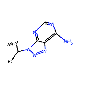 CCC(NC)n1nnc2c(N)ncnc21